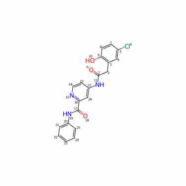 O=C(Cc1cc(Cl)ccc1O)Nc1ccnc(C(=O)Nc2ccccc2)c1